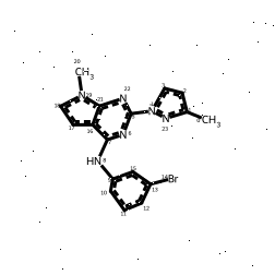 Cc1ccn(-c2nc(Nc3cccc(Br)c3)c3ccn(C)c3n2)n1